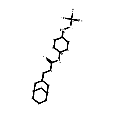 O=C(CCC1CC2CCCC(C2)C1)OC1CCC(NSC(F)(F)F)CC1